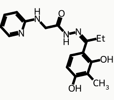 CCC(=NNC(=O)CNc1ccccn1)c1ccc(O)c(C)c1O